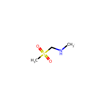 [CH2]NCS(C)(=O)=O